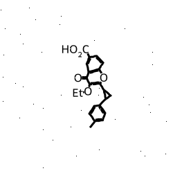 CCOc1c(C2CC2c2ccc(C)cc2)oc2ccc(C(=O)O)cc2c1=O